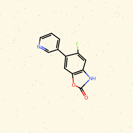 O=c1[nH]c2cc(F)c(-c3cccnc3)cc2o1